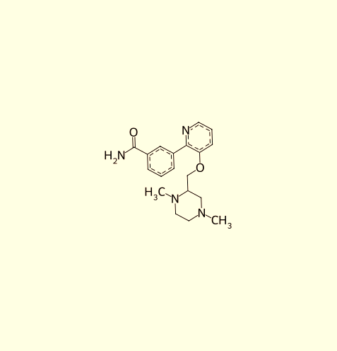 CN1CCN(C)C(COc2cccnc2-c2cccc(C(N)=O)c2)C1